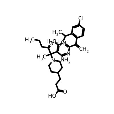 C=C(c1nc(C)c(C(C)(C(=O)CCC)N2CCC(CCC(=O)O)CC2)c(N)n1)c1ccc(Cl)cc1C(C)C